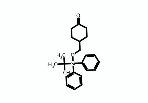 CC(C)(C)[Si](OCC1CCC(=O)CC1)(c1ccccc1)c1ccccc1